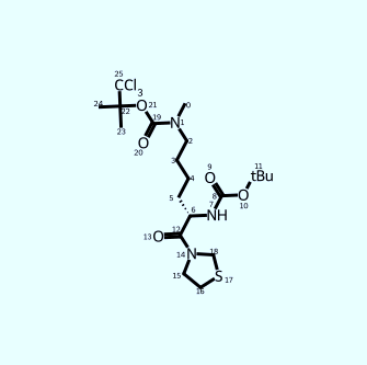 CN(CCCC[C@H](NC(=O)OC(C)(C)C)C(=O)N1CCSC1)C(=O)OC(C)(C)C(Cl)(Cl)Cl